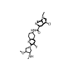 CCn1cc(Cl)c2cc(C(=O)NC3CCc4nc(N5CC(NC)C(OC)C5)c(F)cc4C3)nnc21